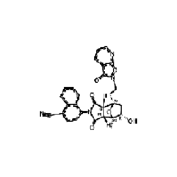 C[C@]12O[C@](CCn3oc4ncccc4c3=O)(C[C@@H]1O)[C@H]1C(=O)N(c3ccc(C#N)c4ccccc34)C(=O)[C@H]12